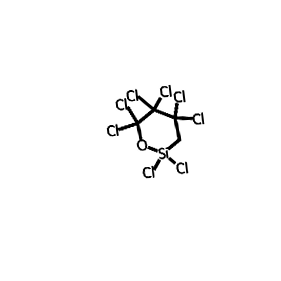 ClC1(Cl)C[Si](Cl)(Cl)OC(Cl)(Cl)C1(Cl)Cl